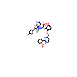 COc1ccccc1-c1nccc(COc2ccccc2C[C@@H](Nc2ccnc3sc(-c4ccc(F)cc4)c(Br)c23)C(=O)O)n1